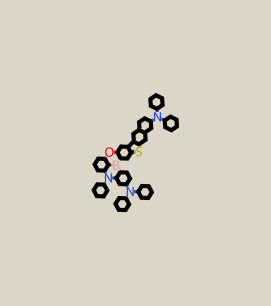 c1ccc(N(c2ccccc2)c2ccc3c(c2)N(c2ccccc2)c2cccc4c2B3c2cc3sc5cc6cc(N(c7ccccc7)c7ccccc7)ccc6cc5c3cc2O4)cc1